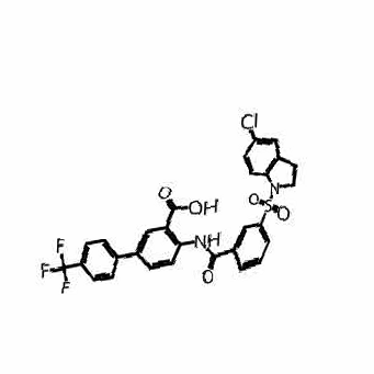 O=C(Nc1ccc(-c2ccc(C(F)(F)F)cc2)cc1C(=O)O)c1cccc(S(=O)(=O)N2CCc3cc(Cl)ccc32)c1